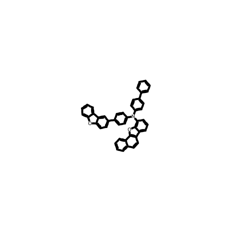 c1ccc(-c2ccc(N(c3ccc(-c4ccc5oc6ccccc6c5c4)cc3)c3cccc4c3oc3c5ccccc5ccc43)cc2)cc1